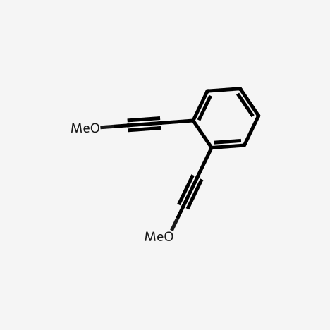 COC#Cc1ccccc1C#COC